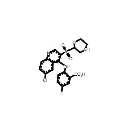 O=C(O)c1cc(F)ccc1Nc1c(S(=O)(=O)C2CNCCO2)cnc2ccc(Cl)cc12